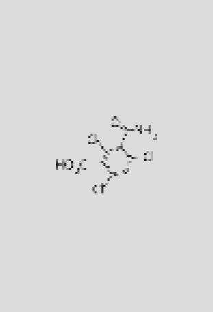 NC(=O)c1c(Cl)cc(Cl)c(C(=O)O)c1Cl